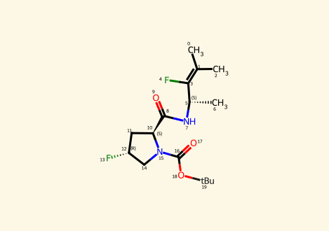 CC(C)=C(F)[C@H](C)NC(=O)[C@@H]1C[C@@H](F)CN1C(=O)OC(C)(C)C